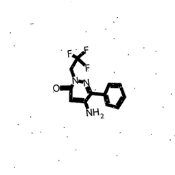 Nc1cc(=O)n(CC(F)(F)F)nc1-c1ccccc1